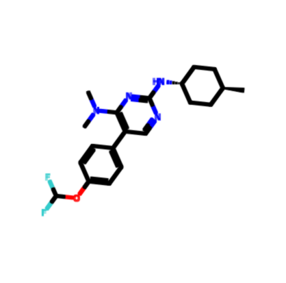 CN(C)c1nc(N[C@H]2CC[C@H](C)CC2)ncc1-c1ccc(OC(F)F)cc1